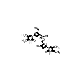 C=C1NC(=O)N([C@H]2CC(O)[C@@H](COP(=O)(O)OC3C[C@H](N4C=C(C)C(=C)NC4=O)O[C@@H]3CO)O2)C=C1C